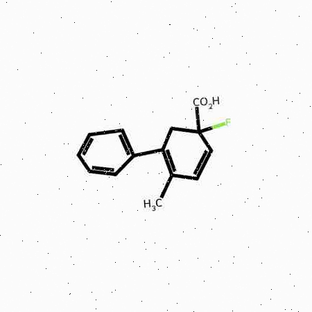 CC1=C(c2ccccc2)CC(F)(C(=O)O)C=C1